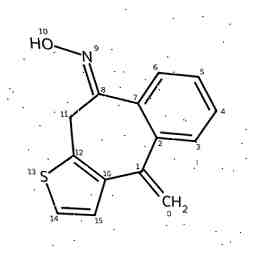 C=C1c2ccccc2C(=NO)Cc2sccc21